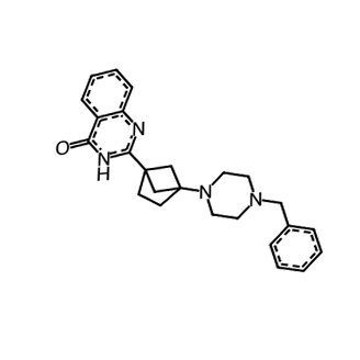 O=c1[nH]c(C23CCC(N4CCN(Cc5ccccc5)CC4)(C2)C3)nc2ccccc12